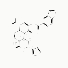 COC(=O)[C@@H]1C=C(OC(=O)c2ccc3occc3c2)C(=O)[C@H]2[C@@]1(C)CC[C@H]1C(=O)O[C@H](c3ccoc3)C[C@]21C